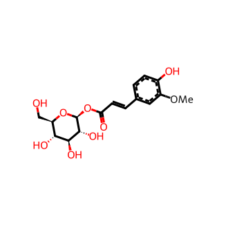 COc1cc(/C=C/C(=O)O[C@@H]2O[C@H](CO)[C@@H](O)[C@H](O)[C@H]2O)ccc1O